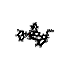 COCOc1cc(-c2cc3nc(OC[C@@]45CCCN4C[C@H](F)C5)ncc3c(N3CCCC34CC4)n2)c2c(C#C[Si](C(C)C)(C(C)C)C(C)C)c(F)ccc2c1